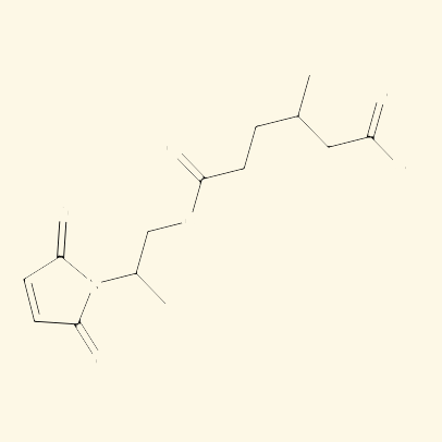 CC(CCC(=O)OCC(C)N1C(=O)C=CC1=O)CC(=O)O